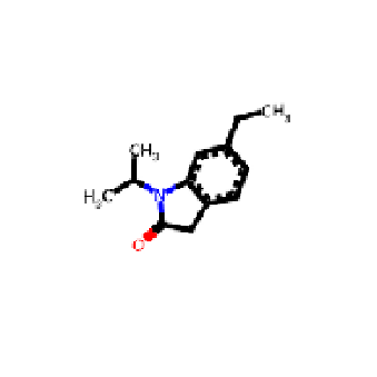 CCc1ccc2c(c1)N(C(C)C)C(=O)C2